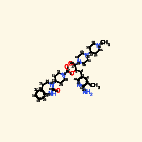 Cc1cc(C[C@@H](OC(=O)N2CCC(N3CCc4ccccc4NC3=O)CC2)C(=O)N2CCN(C3CCN(C)CC3)CC2)cnc1N